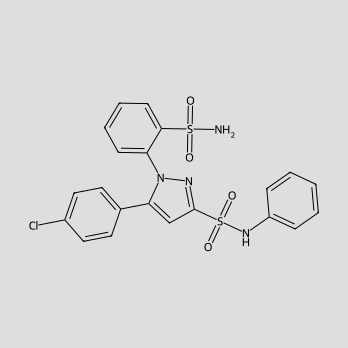 NS(=O)(=O)c1ccccc1-n1nc(S(=O)(=O)Nc2ccccc2)cc1-c1ccc(Cl)cc1